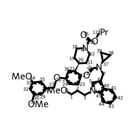 COCCCn1cc(CN(C(=O)[C@H]2CN(C(=O)OC(C)C)CC[C@@H]2c2cccc(OCc3cc(OC)cc(OC)c3)c2)C2CC2)c2ccccc21